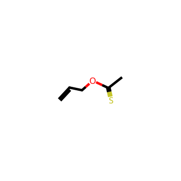 C=CCOC(C)=S